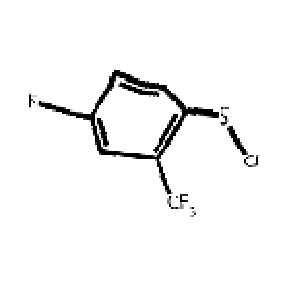 Fc1ccc(SCl)c(C(F)(F)F)c1